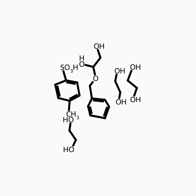 Cc1ccc(S(=O)(=O)O)cc1.OCC(O)OCc1ccccc1.OCCO.OCCO.OCCO